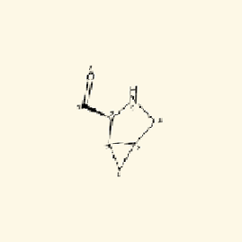 O=[C][C@H]1NCC2CC21